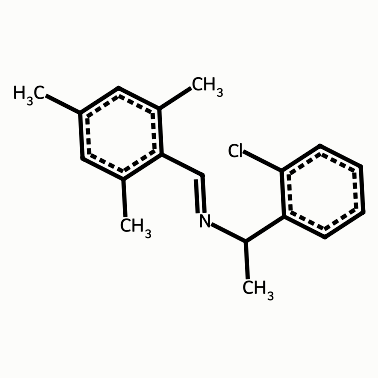 Cc1cc(C)c(C=NC(C)c2ccccc2Cl)c(C)c1